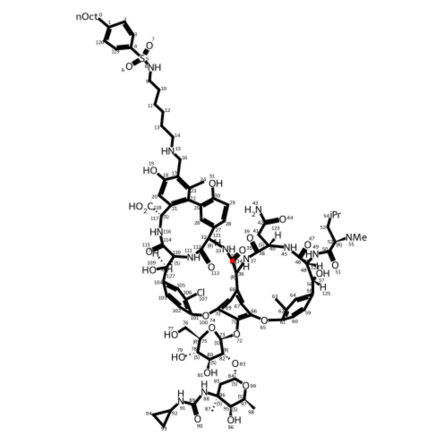 CCCCCCCCc1ccc(S(=O)(=O)NCCCCCCNCc2c(O)cc3c(c2C)-c2cc(ccc2O)[C@H]2NC(=O)[C@@H]4NC(=O)[C@H](CC(N)=O)NC(=O)[C@H](NC(=O)[C@@H](CC(C)C)NC)[C@H](O)c5ccc(c(C)c5)Oc5cc4cc(c5O[C@@H]4O[C@H](CO)[C@@H](O)[C@H](O)[C@H]4O[C@H]4C[C@](C)(NC(=O)NC5CC5)[C@H](O)[C@H](C)O4)Oc4ccc(cc4Cl)[C@@H](O)[C@H](NC2=O)C(=O)N[C@@H]3C(=O)O)cc1